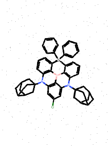 Clc1cc2c3c(c1)N(C14CC5CC(C1)C(C5)C4)c1cccc4c1B3c1c(cccc1[Si]4(c1ccccc1)c1ccccc1)N2C12CC3CC(C1)C(C3)C2